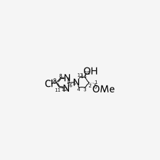 COC[C@@H]1CCN(c2ncc(Cl)cn2)C[C@@H]1O